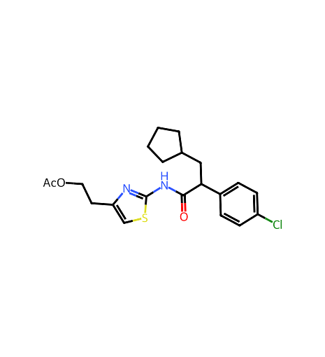 CC(=O)OCCc1csc(NC(=O)C(CC2CCCC2)c2ccc(Cl)cc2)n1